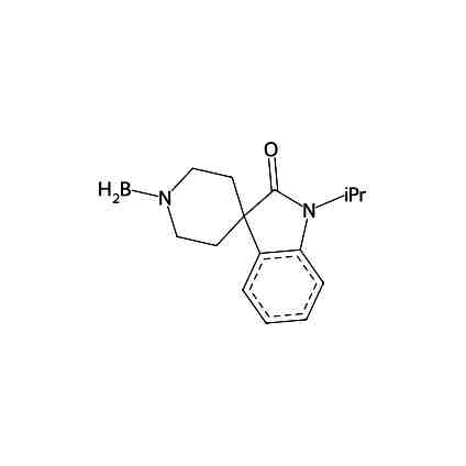 BN1CCC2(CC1)C(=O)N(C(C)C)c1ccccc12